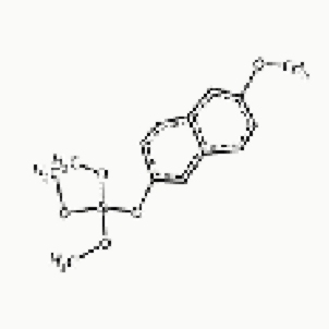 COc1ccc2cc(O[Si](OC)(OC)OC)ccc2c1